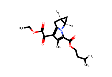 CCOC(=O)C(=O)c1c(C)c(C(=O)OCCC(C)C)n2c1C[C@H]1C[C@H]12